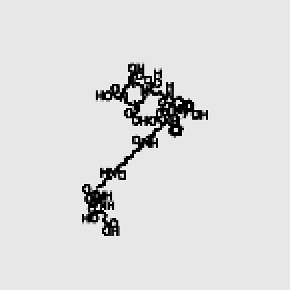 Cc1cc(CC(NC(=O)CCC(C(=O)O)N2CCN(CC(=O)O)CCN(CC(=O)O)CCN(CC(=O)O)CC2)C(=O)NC(Cc2ccccc2)C(=O)NC(CCCCNC(=O)CCCCCCC(=O)NCCCC[C@H](NC(=O)N[C@@H](CCC(=O)O)C(=O)O)C(=O)O)C(=O)O)ccc1O